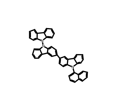 c1ccc2c(-n3c4ccccc4c4cc(-c5ccc6c(c5)c5ccccc5n6-n5c6ccccc6c6ccccc65)ccc43)cccc2c1